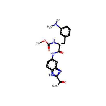 COC(=O)c1nc2cc(NC(=O)[C@H](Cc3cccc(N(C)C(C)=O)c3)NC(=O)OC(C)(C)C)ccc2[nH]1